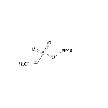 C=CS(=O)(=O)ONC